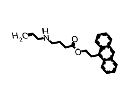 C=CCNCCCC(=O)OCCc1c2ccccc2cc2ccccc12